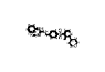 Cc1c(S(=O)(=O)c2ccc(CNC(=NC#N)Nc3ccccc3)cc2)ccnc1C1CCOCC1